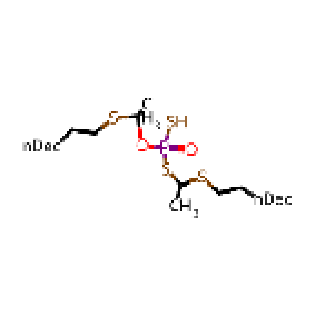 CCCCCCCCCCCCSC(C)OP(=O)(S)SC(C)SCCCCCCCCCCCC